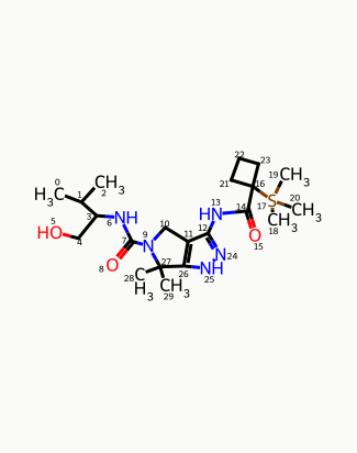 CC(C)C(CO)NC(=O)N1Cc2c(NC(=O)C3(S(C)(C)C)CCC3)n[nH]c2C1(C)C